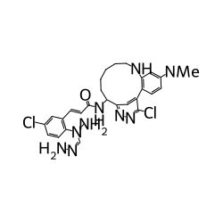 CNc1ccc2c(c1)NCCCCCC(NC(=O)/C=C/c1cc(Cl)ccc1N(N)/C=N\N)c1cc-2c(Cl)nn1